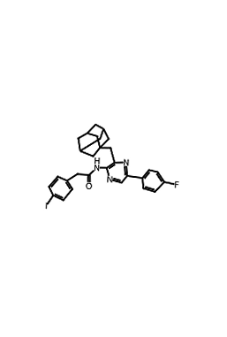 O=C(Cc1ccc(I)cc1)Nc1ncc(-c2ccc(F)cc2)nc1CC12CC3CC(CC(C3)C1)C2